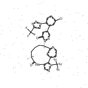 [2H]C([2H])([2H])n1ncc2c1-c1ccnc(c1)[C@@H](n1ncc(-c3cc(Cl)ccc3-n3cc(C(F)(F)F)nn3)cc1=O)CCC[C@@H](C)C(=O)N2